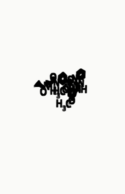 COc1cc(Nc2nc3ccccc3nc2NS(=O)(=O)c2cccc(NC(=O)C3CN(C(=O)C4CC4)C3)c2)cc(OC)c1